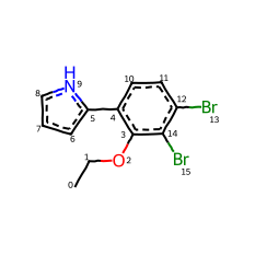 CCOc1c(-c2ccc[nH]2)ccc(Br)c1Br